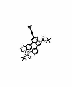 CC(C)(C)OC(=O)Nc1cc(-c2cn(C(=O)OC(C)(C)C)c3nc(C#CC4CC4)cc(-c4ccc5c(c4)OCCO5)c23)ccn1